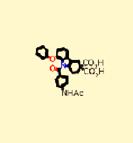 CC(=O)Nc1ccc(C(=O)n2c3c(c4cccc(Oc5ccccc5)c42)CC(C(=O)O)(C(=O)O)CC3)cc1